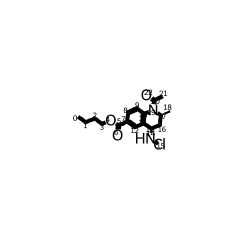 CCCCOC(=O)c1ccc2c(c1)[C@H](NCl)C[C@H](C)N2C(C)=O